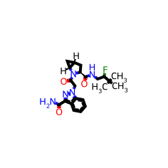 CC(C)(C)C(F)CNC(=O)[C@@H]1C[C@H]2C[C@H]2N1C(=O)Cn1nc(C(N)=O)c2ccccc21